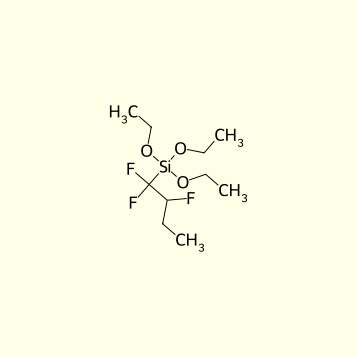 CCO[Si](OCC)(OCC)C(F)(F)C(F)CC